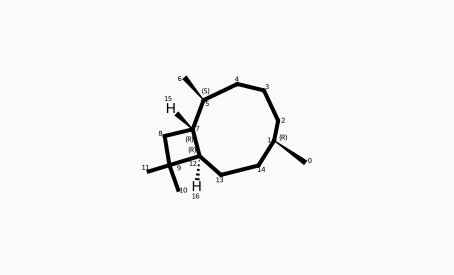 C[C@@H]1CCC[C@H](C)[C@H]2CC(C)(C)[C@@H]2CC1